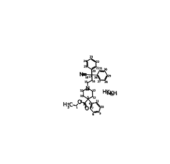 CCOC(=O)C1(c2ccccc2)CCN(CCC(C#N)(c2ccccc2)c2ccccc2)CC1.[KH].[KH]